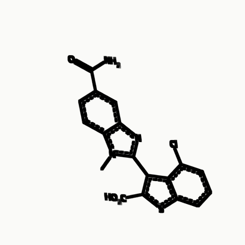 Cn1c(-c2c(C(=O)O)sc3cccc(Cl)c23)nc2cc(C(N)=O)ccc21